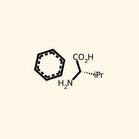 CC(C)[C@H](N)C(=O)O.c1ccccc1